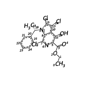 CCOC(=O)c1nc(Cl)c2c(c1O)c(Cl)c(Cl)n2[C@@H](C)c1ccccc1